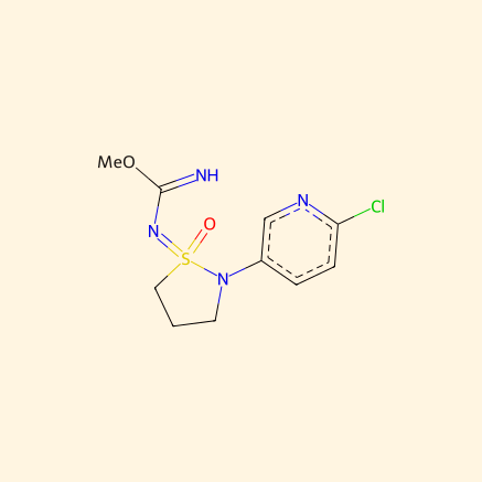 COC(=N)N=S1(=O)CCCN1c1ccc(Cl)nc1